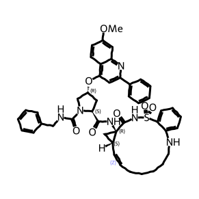 COc1ccc2c(O[C@@H]3C[C@@H](C(=O)N[C@]45C[C@H]4/C=C\CCCCCNc4ccccc4S(=O)(=O)NC5=O)N(C(=O)NCc4ccccc4)C3)cc(-c3ccccc3)nc2c1